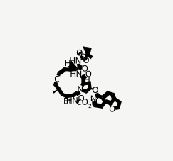 CC[C@@H]1C[C@@H](C)CC/C=C\[C@@H]2C[C@@]2(C(=O)NS(=O)(=O)C2(C)CC2)NC(=O)[C@@H]2C[C@@H](Oc3nccc4c5c(ccc34)CCO5)CN2C(=O)[C@H]1NC(=O)O